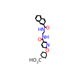 O=C(NCCNC(=O)c1ccc2ccccc2c1)c1ccc(O[C@H]2CC[C@@H](C(=O)O)CC2)nc1